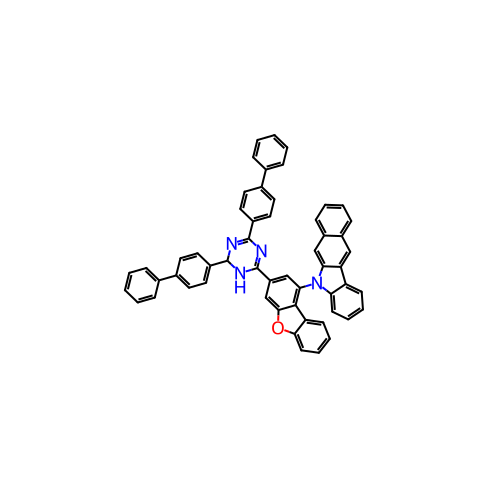 c1ccc(-c2ccc(C3=NC(c4ccc(-c5ccccc5)cc4)NC(c4cc(-n5c6ccccc6c6cc7ccccc7cc65)c5c(c4)oc4ccccc45)=N3)cc2)cc1